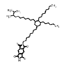 CCCCCCCCC1C(CCCCCC)CC(CCCCCCCCn2c(=O)c3cc4c(=O)[nH]c(=O)c4cc3c2=O)CC1CCCCCCCCC(C)C(C)C